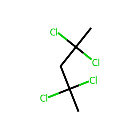 CC(Cl)(Cl)CC(C)(Cl)Cl